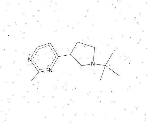 Cc1nccc(C2CCN(C(C)(C)C)C2)n1